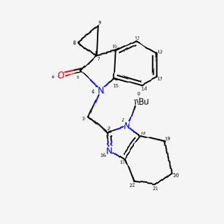 CCCCn1c(CN2C(=O)C3(CC3)c3ccccc32)nc2c1CCCC2